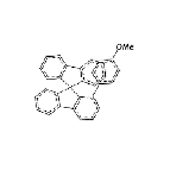 COc1ccc(-c2cccc3c2C2(c4ccccc4-c4ccccc42)c2ccccc2-3)cc1